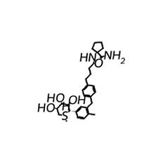 Cc1ccc([C@H]2[C@H](O)[C@H](O)[C@H](O)C[SH]2C)cc1Cc1ccc(CCCCNC2(C(N)=O)CCCC2)cc1